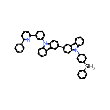 c1ccc([SiH2]c2ccc(-n3c4ccccc4c4cc(-c5ccc6c(c5)c5ccccc5n6-c5cccc(-c6cccc(-c7ccccc7)n6)c5)ccc43)cc2)cc1